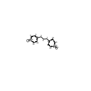 [O-][n+]1ccc(CCCc2cc[n+]([O-])cc2)cc1